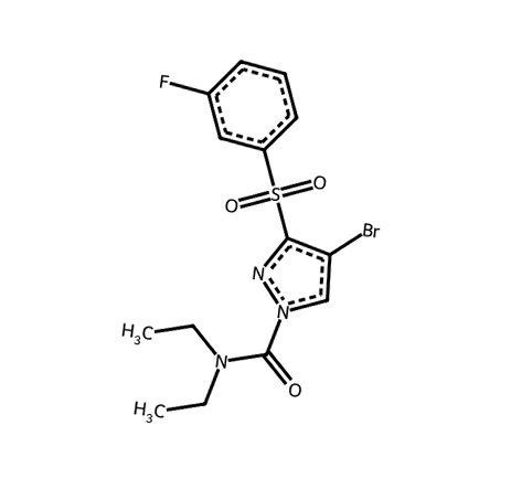 CCN(CC)C(=O)n1cc(Br)c(S(=O)(=O)c2cccc(F)c2)n1